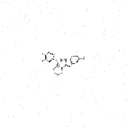 Cc1ccc(CN2CCCCC2c2cc3cc(F)ccc3[nH]2)cc1C